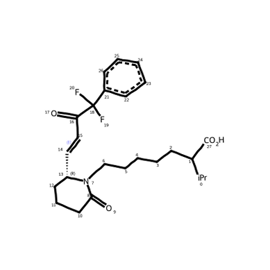 CC(C)C(CCCCCN1C(=O)CCC[C@@H]1/C=C/C(=O)C(F)(F)c1ccccc1)C(=O)O